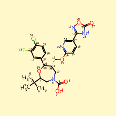 CC(C)(C)C1CN(C(=O)O)C[C@@H](COc2ccc(-c3noc(=O)[nH]3)cn2)[C@H](c2ccc(Cl)c(F)c2)O1